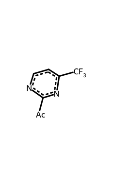 CC(=O)c1nccc(C(F)(F)F)n1